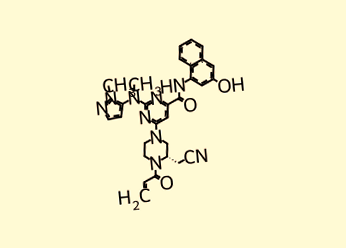 C=CC(=O)N1CCN(c2cc(C(=O)Nc3cc(O)cc4ccccc34)nc(N(C)c3ccnn3C)n2)C[C@@H]1CC#N